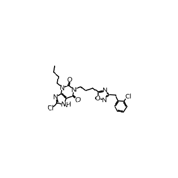 CCCCn1c(=O)n(CCCc2nc(Cc3ccccc3Cl)no2)c(=O)c2[nH]c(Cl)nc21